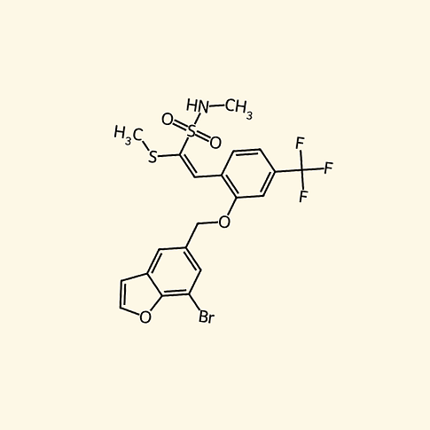 CNS(=O)(=O)C(=Cc1ccc(C(F)(F)F)cc1OCc1cc(Br)c2occc2c1)SC